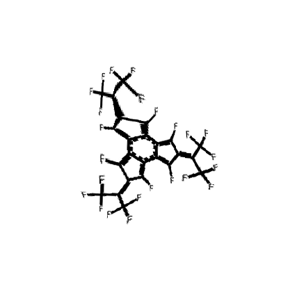 FC1=c2c3c(c4c(c2=C(F)C1=C(C(F)(F)F)C(F)(F)F)=C(F)C(=C(C(F)(F)F)C(F)(F)F)C=4F)=C(F)C(=C(C(F)(F)F)C(F)(F)F)C=3F